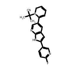 CC(C)(C#N)N1CC=CC=C1c1cnc2[nH]c(-c3ccc(F)nc3)cc2c1